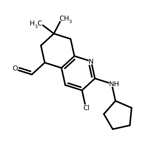 CC1(C)Cc2nc(NC3CCCC3)c(Cl)cc2C(C=O)C1